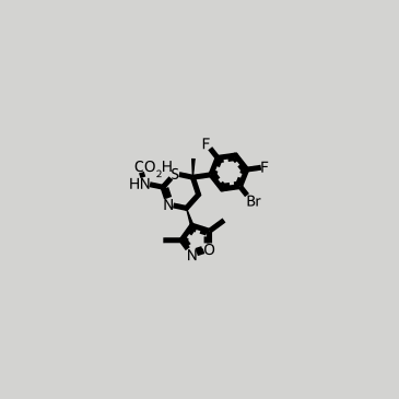 Cc1noc(C)c1[C@@H]1C[C@@](C)(c2cc(Br)c(F)cc2F)SC(NC(=O)O)=N1